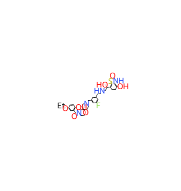 CCOc1ccc(O)c(C(=O)N2CCOC3(CCN(Cc4cc(F)cc(CCNC[C@H](O)c5ccc(O)c6[nH]c(=O)sc56)c4)CC3)C2)c1